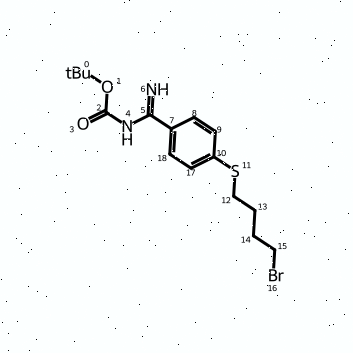 CC(C)(C)OC(=O)NC(=N)c1ccc(SCCCCBr)cc1